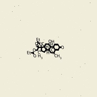 CCC(=O)OCC(=O)[C@@]1(OC(=O)CC)[C@@H](C)C[C@H]2[C@@H]3C[C@H](C)C4=CC(=O)C=C[C@]4(C)[C@H]3[C@@H](O)C[C@@]21C